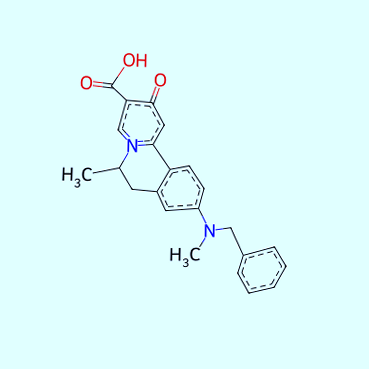 CC1Cc2cc(N(C)Cc3ccccc3)ccc2-c2cc(=O)c(C(=O)O)cn21